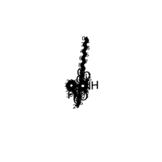 CCCCCCCCCCOC(=O)OC1=C(C)NC(C)=C(OC(=O)OCC)C1c1ccccc1C(F)(F)F